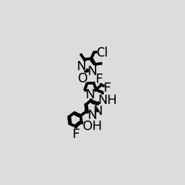 Cc1nc(OC2CN3c4cc(-c5cccc(F)c5O)nnc4NCC3(C(F)F)C2)nc(C)c1CCl